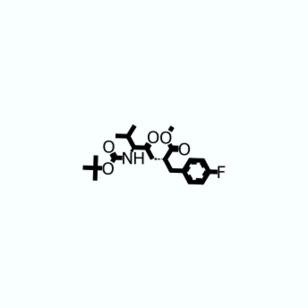 COC(=O)[C@@H](CC(=O)[C@@H](NC(=O)OC(C)(C)C)C(C)C)Cc1ccc(F)cc1